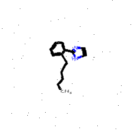 CCCCCc1ccccc1-c1ncc[nH]1